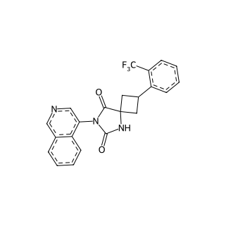 O=C1NC2(CC(c3ccccc3C(F)(F)F)C2)C(=O)N1c1cncc2ccccc12